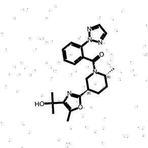 Cc1oc([C@@H]2CC[C@@H](C)N(C(=O)c3ccccc3-n3nccn3)C2)nc1C(C)(C)O